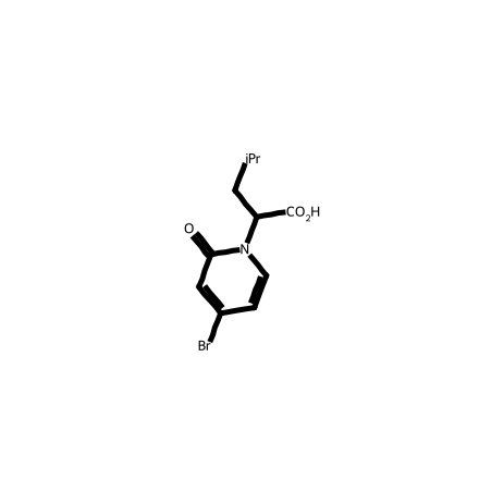 CC(C)CC(C(=O)O)n1ccc(Br)cc1=O